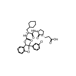 CC(C)(c1cccc(Cl)c1)C(OC(=O)N[C@@H](CC1CCCCC1)C(=O)NN1CC[C@H](CCC(=O)O)C1=O)c1ccccc1Cl